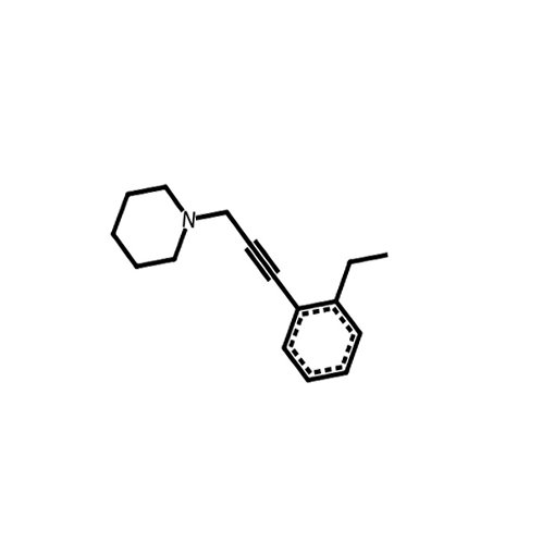 CCc1ccccc1C#CCN1CCCCC1